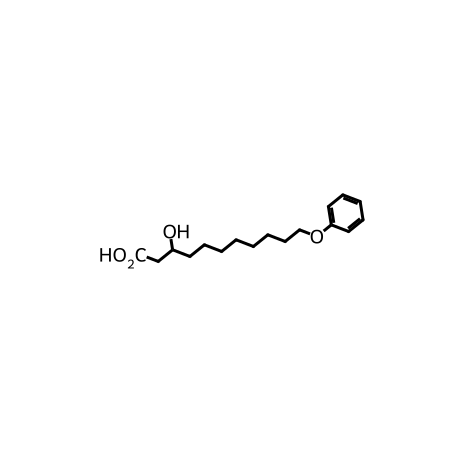 O=C(O)CC(O)CCCCCCCCOc1ccccc1